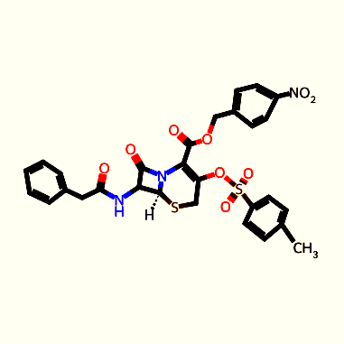 Cc1ccc(S(=O)(=O)OC2=C(C(=O)OCc3ccc([N+](=O)[O-])cc3)N3C(=O)C(NC(=O)Cc4ccccc4)[C@@H]3SC2)cc1